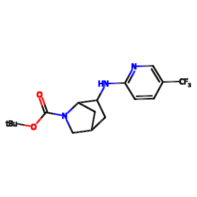 CC(C)(C)OC(=O)N1CC2CC(Nc3ccc(C(F)(F)F)cn3)C1C2